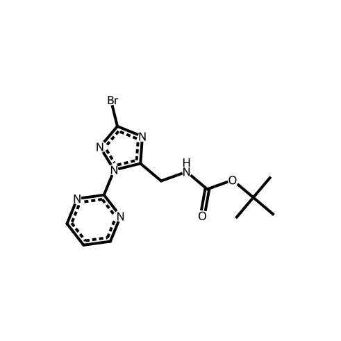 CC(C)(C)OC(=O)NCc1nc(Br)nn1-c1ncccn1